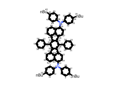 CCCCc1ccc(N(c2ccc(CCCC)cc2)c2ccc3c4c(-c5ccccc5)c5c6ccc(N(c7ccc(CCCC)cc7)c7ccc(CCCC)cc7)c7cccc(c5c(-c5ccccc5)c4c4cccc2c43)c76)cc1